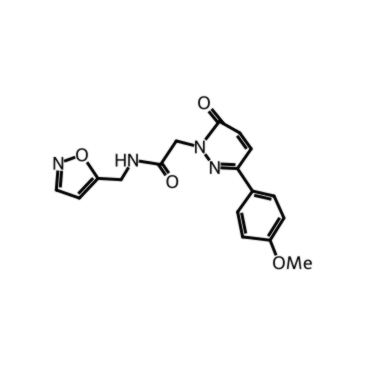 COc1ccc(-c2ccc(=O)n(CC(=O)NCc3ccno3)n2)cc1